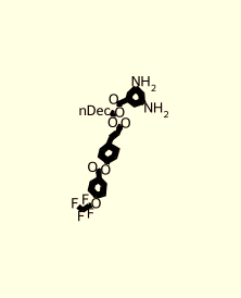 CCCCCCCCCCC(OC(=O)C=Cc1ccc(OC(=O)c2ccc(OC(F)(F)C(F)F)cc2)cc1)OC(=O)c1cc(N)cc(N)c1